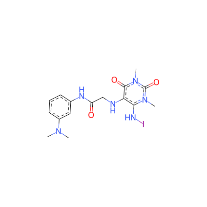 CN(C)c1cccc(NC(=O)CNc2c(NI)n(C)c(=O)n(C)c2=O)c1